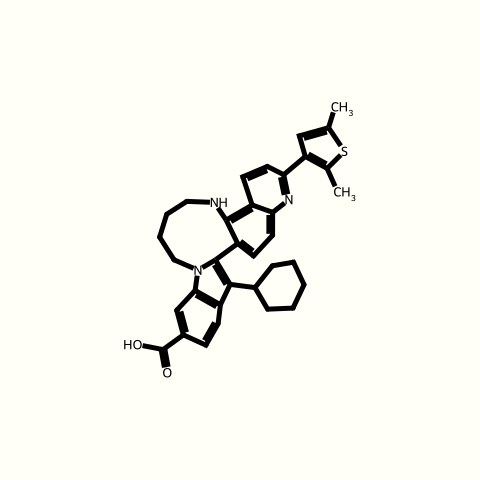 Cc1cc(-c2ccc3c4c(ccc3n2)-c2c(C3CCCCC3)c3ccc(C(=O)O)cc3n2CCCCN4)c(C)s1